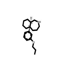 CCCOc1cccc([C@@]23CCCC[C@H]2CNCCC3)c1